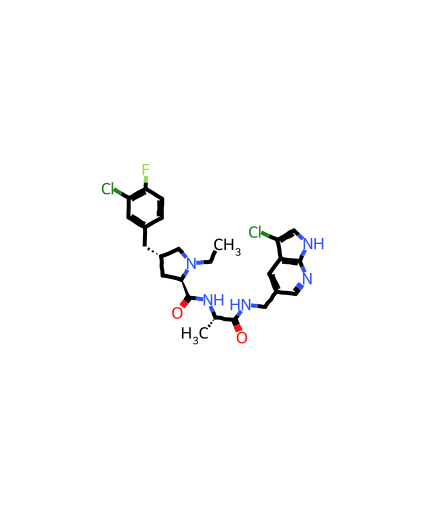 CCN1C[C@@H](Cc2ccc(F)c(Cl)c2)C[C@@H]1C(=O)N[C@@H](C)C(=O)NCc1cnc2[nH]cc(Cl)c2c1